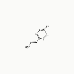 Fc1ccc(C=CS)cc1